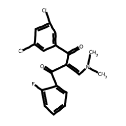 CN(C)C=C(C(=O)c1cc(Cl)cc(Cl)c1)C(=O)c1ccccc1F